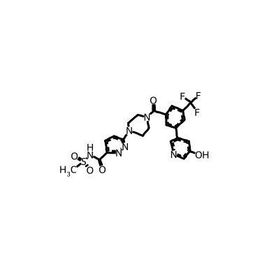 CS(=O)(=O)NC(=O)c1ccc(N2CCN(C(=O)c3cc(-c4cncc(O)c4)cc(C(F)(F)F)c3)CC2)nn1